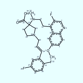 COc1ccc2ncc(F)c(CCN(C)C3(C(=O)O)CCN(C/C=C/c4cc(F)ccc4F)C3)c2c1